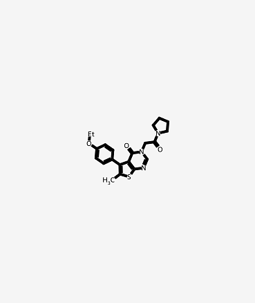 CCOc1ccc(-c2c(C)sc3ncn(CC(=O)N4CCCC4)c(=O)c23)cc1